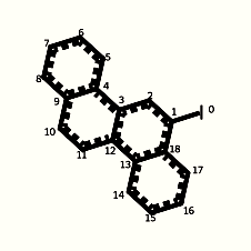 Ic1cc2c3ccccc3ccc2c2ccccc12